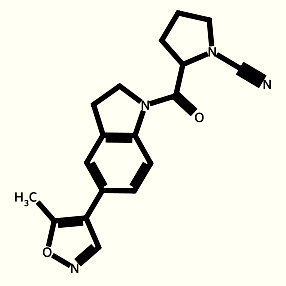 Cc1oncc1-c1ccc2c(c1)CCN2C(=O)C1CCCN1C#N